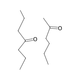 CCCC(=O)CCC.CCCCC(C)=O